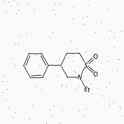 CCN1CC(c2ccccc2)CCS1(=O)=O